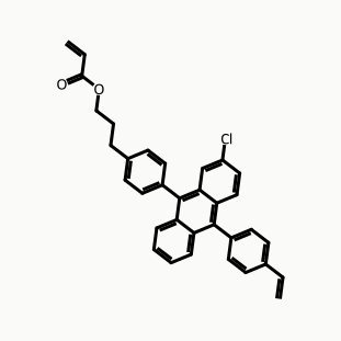 C=CC(=O)OCCCc1ccc(-c2c3ccccc3c(-c3ccc(C=C)cc3)c3ccc(Cl)cc23)cc1